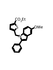 CCOC(=O)c1ccc(Cn2c(-c3ccccc3)cc3cc(OC)ccc32)s1